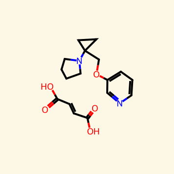 O=C(O)/C=C/C(=O)O.c1cncc(OCC2(N3CCCC3)CC2)c1